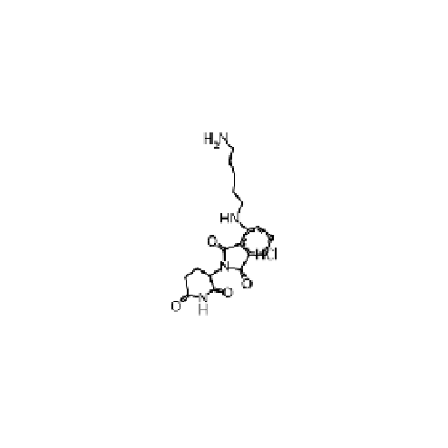 Cl.NCCCCCNc1cccc2c1C(=O)N(C1CCC(=O)NC1=O)C2=O